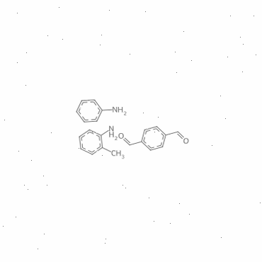 Cc1ccccc1N.Nc1ccccc1.O=Cc1ccc(C=O)cc1